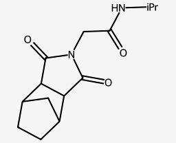 CC(C)NC(=O)CN1C(=O)C2C3CCC(C3)C2C1=O